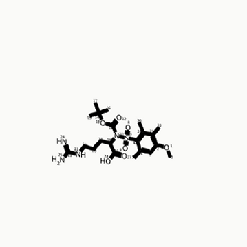 COc1cc(C)c(S(=O)(=O)N(C(=O)OC(C)(C)C)C(CCCNC(=N)N)C(=O)O)c(C)c1C